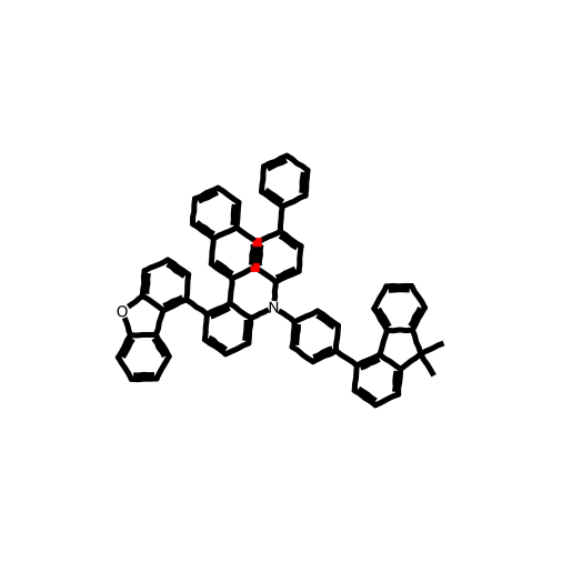 CC1(C)c2ccccc2-c2c(-c3ccc(N(c4ccc(-c5ccccc5)cc4)c4cccc(-c5cccc6oc7ccccc7c56)c4-c4ccc5ccccc5c4)cc3)cccc21